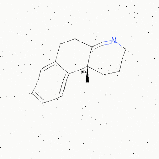 C[C@]12CCCN=C1CCc1ccccc12